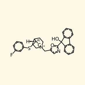 OC1(c2ncc(C[N+]34CCC(CC3)[C@@H](Sc3cccc(F)c3)C4)o2)c2ccccc2-c2ccccc21